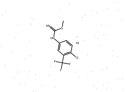 CSC(=N)Nc1ccc(Cl)c(C(F)(F)F)c1.I